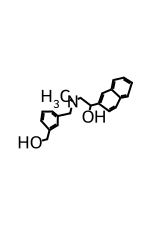 CN(Cc1cccc(CO)c1)CC(O)c1ccc2ccccc2c1